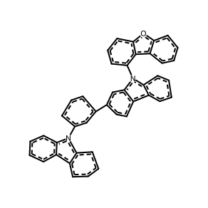 c1cc(-c2ccc3c4ccccc4n(-c4cccc5oc6ccccc6c45)c3c2)cc(-n2c3ccccc3c3ccccc32)c1